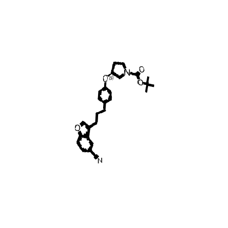 CC(C)(C)OC(=O)N1CC[C@H](Oc2ccc(CCCc3coc4ccc(C#N)cc34)cc2)C1